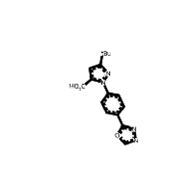 CC(C)(C)c1cc(C(=O)O)n(-c2ccc(-c3nnco3)cc2)n1